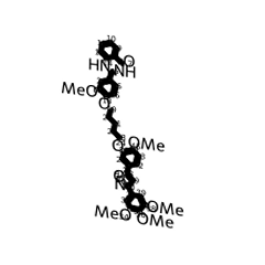 COc1cc(C2NC(=O)c3ccccc3N2)ccc1OCCCCCOc1cc(-c2cc(-c3cc(OC)c(OC)c(OC)c3)no2)ccc1OC